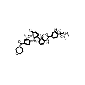 Cc1c(NC(=O)c2ccc(C(C)(C)C)cc2)cccc1-c1ccc(=O)n(C)c1Nc1ccc(C(=O)N2CCCOCC2)cc1